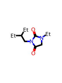 CCC(CC)CN1C(=O)CN(CC)C1=O